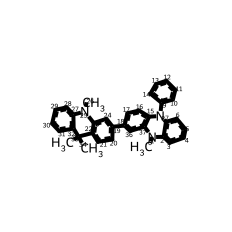 CN1c2ccccc2N(c2ccccc2)c2ccc(-c3ccc4c(c3)N(C)c3ccccc3C4(C)C)cc21